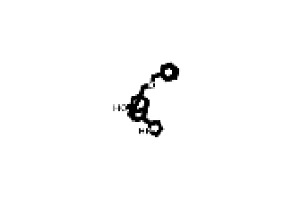 OC12CC3CC(COCc4ccccc4)(CC(C1)C3C1CCCN1)C2